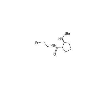 CC(C)CCNC(=O)[C@@H]1CCC[C@@H]1NC(C)(C)C